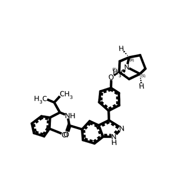 CC(C)C(NC(=O)c1ccc2[nH]nc(-c3ccc(O[C@H]4C[C@H]5CC[C@@H](C4)N5C)cc3)c2c1)c1ccccc1Cl